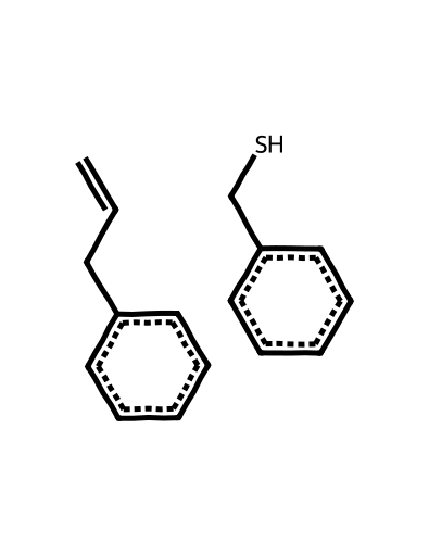 C=CCc1ccccc1.SCc1ccccc1